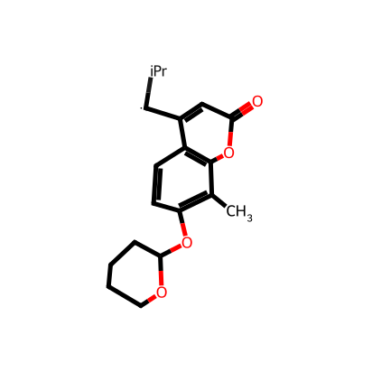 Cc1c(OC2CCCCO2)ccc2c([CH]C(C)C)cc(=O)oc12